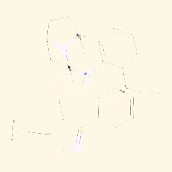 COC(=O)c1cccc(OC)c1NC(=O)N1C2CCC1CC(OCc1c(-c3ccccc3OC(F)(F)F)noc1C1CC1)C2